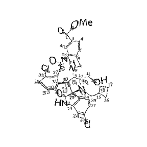 COC(=O)c1ccc(CN[C@@H]2[C@H](CO)N(CC3CCC3)[C@@]3(C(=O)Nc4cc(Cl)ccc43)[C@H]2c2cccc(Cl)c2F)c([N+](=O)[O-])c1